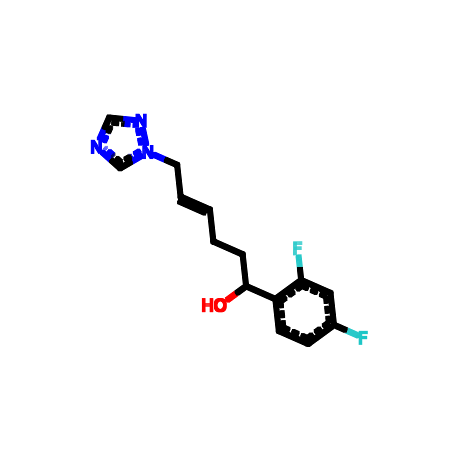 OC(CCC=CCn1cncn1)c1ccc(F)cc1F